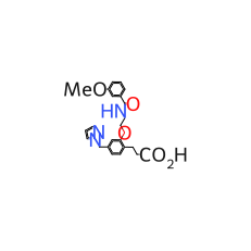 COc1cccc(C(=O)NCCOc2cc(Cn3cccn3)ccc2CCC(=O)O)c1